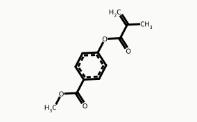 C=C(C)C(=O)Oc1ccc(C(=O)OC)cc1